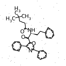 CC(C)(C)C[CH]C(=O)N[C@@H](CCc1ccccc1)C(=O)c1oc(-c2ccccc2)nc1-c1ccccc1